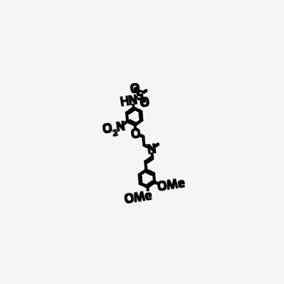 COc1ccc(C=CN(C)CCOc2ccc(NS(C)(=O)=O)cc2[N+](=O)[O-])cc1OC